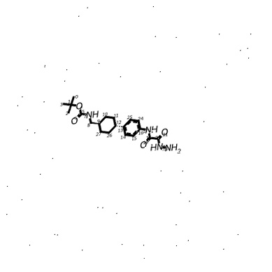 CC(C)(C)OC(=O)NC[C@H]1CC[C@H](c2ccc(NC(=O)C(=O)NN)cc2)CC1